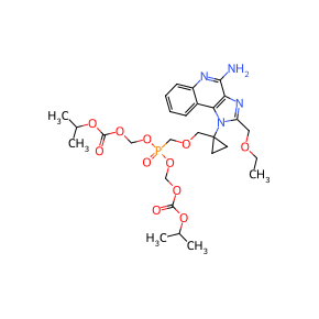 CCOCc1nc2c(N)nc3ccccc3c2n1C1(COCP(=O)(OCOC(=O)OC(C)C)OCOC(=O)OC(C)C)CC1